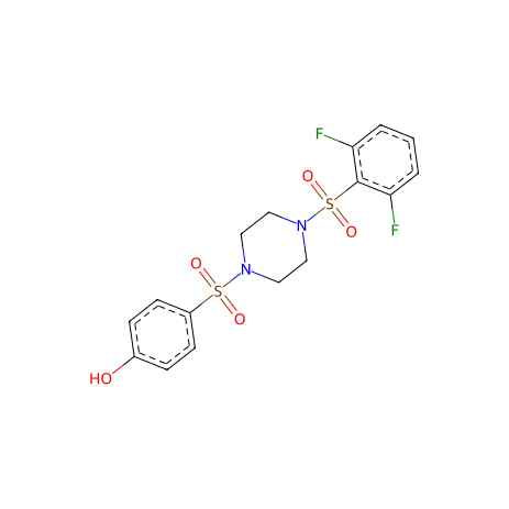 O=S(=O)(c1ccc(O)cc1)N1CCN(S(=O)(=O)c2c(F)cccc2F)CC1